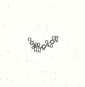 CNc1cc2c(cc1Cl)C(=O)N(c1ccc(NC(=O)NS(=O)(=O)c3ccc(Cl)s3)nc1)CO2